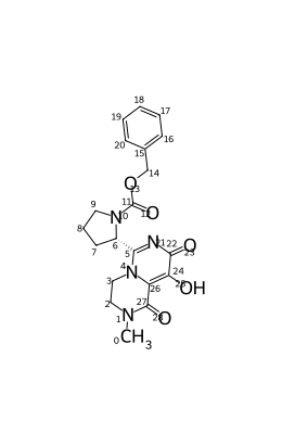 CN1CCn2c([C@@H]3CCCN3C(=O)OCc3ccccc3)nc(=O)c(O)c2C1=O